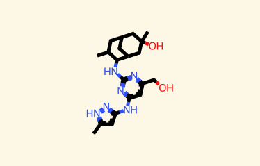 Cc1cc(Nc2cc(CO)nc(NC3C(C)CC4CC3CC(C)(O)C4)n2)n[nH]1